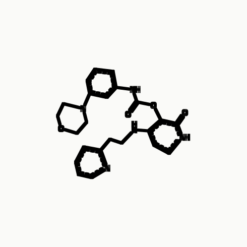 O=C(Nc1cccc(N2CCOCC2)c1)Oc1c(NCCc2ccccn2)cc[nH]c1=O